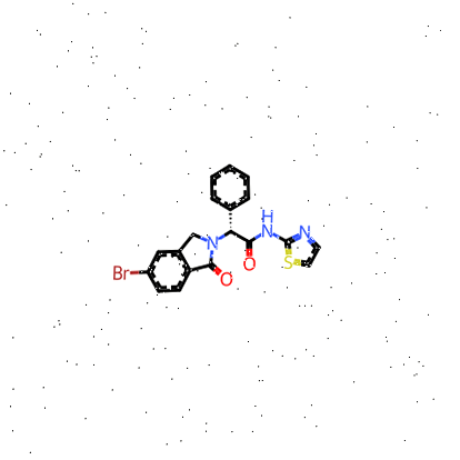 O=C(Nc1nccs1)[C@@H](c1ccccc1)N1Cc2cc(Br)ccc2C1=O